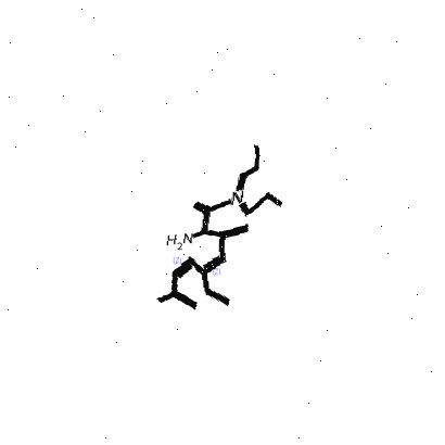 C=C(C)/C=C\C(=C/C(=C)C(N)C(=C)N(CCC)CCC)CC